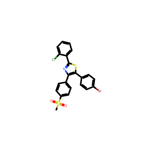 CS(=O)(=O)c1ccc(-c2nc(-c3ccccc3Cl)sc2-c2ccc(Br)cc2)cc1